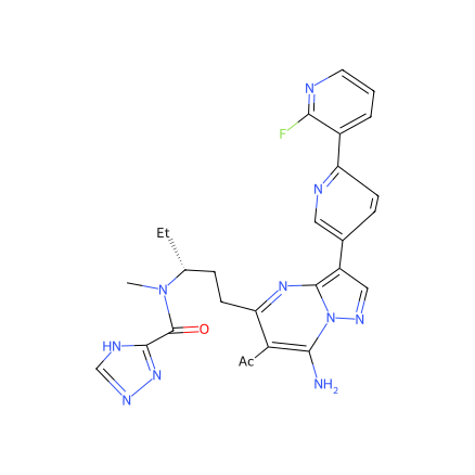 CC[C@H](CCc1nc2c(-c3ccc(-c4cccnc4F)nc3)cnn2c(N)c1C(C)=O)N(C)C(=O)c1nnc[nH]1